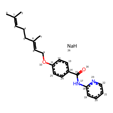 CC(C)=CCC/C(C)=C/COc1ccc(C(=O)Nc2ccccn2)cc1.[NaH]